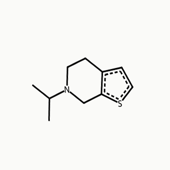 CC(C)N1CCc2ccsc2C1